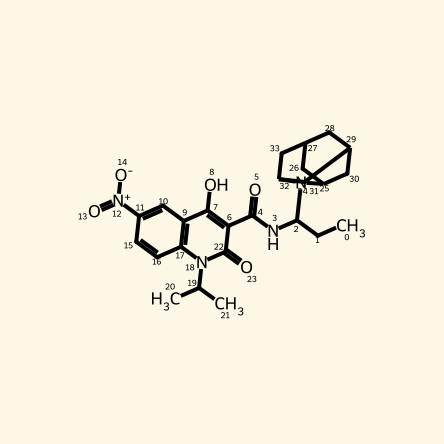 CCC(NC(=O)c1c(O)c2cc([N+](=O)[O-])ccc2n(C(C)C)c1=O)N1C2CC3CC(C2)CC1C3